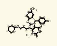 Cc1ccc(OC2N(Cc3ccc(Cl)cc3)c3c(n(C)c(=O)[nH]c3=O)N2CCCOC2CCCCO2)cn1